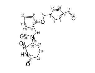 O=CC1=CCC(COc2cccc3c2CN([C@H]2CCCC(=O)NC2=O)C3=O)C=C1